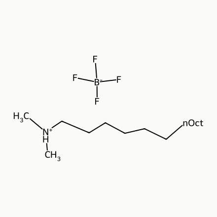 CCCCCCCCCCCCCC[NH+](C)C.F[B-](F)(F)F